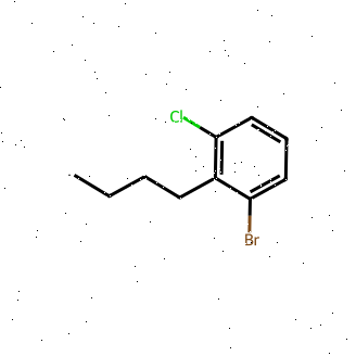 [CH2]CCCc1c(Cl)cccc1Br